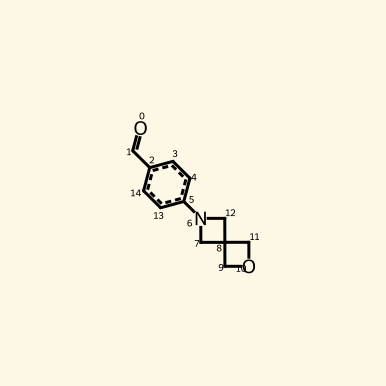 O=Cc1ccc(N2CC3(COC3)C2)cc1